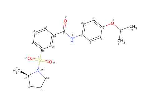 CC(C)Oc1ccc(NC(=O)c2cccc(S(=O)(=O)N3CCC[C@H]3C)c2)cc1